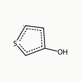 Oc1c[c]sc1